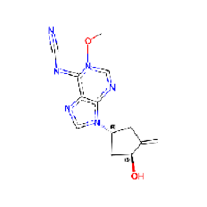 C=C1C[C@@H](n2cnc3c(=NC#N)n(OC)cnc32)C[C@@H]1O